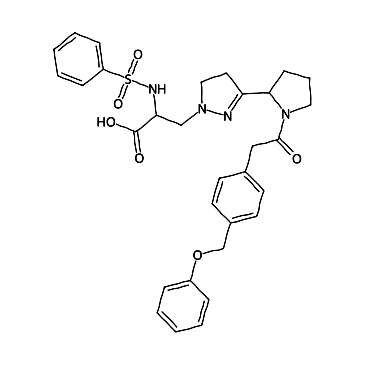 O=C(O)C(CN1CCC(C2CCCN2C(=O)Cc2ccc(COc3ccccc3)cc2)=N1)NS(=O)(=O)c1ccccc1